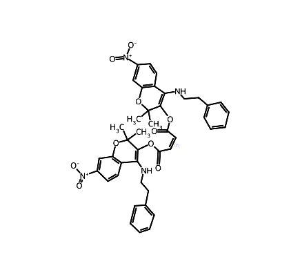 CC1(C)Oc2cc([N+](=O)[O-])ccc2C(NCCc2ccccc2)=C1OC(=O)/C=C\C(=O)OC1=C(NCCc2ccccc2)c2ccc([N+](=O)[O-])cc2OC1(C)C